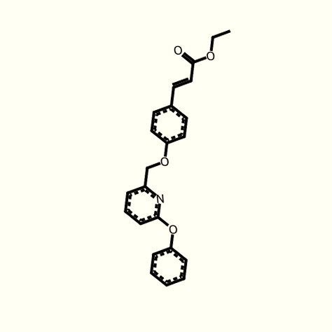 CCOC(=O)/C=C/c1ccc(OCc2cccc(Oc3ccccc3)n2)cc1